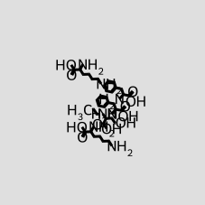 CCCNC(CCO)C(=O)O.NC(Cc1ccccc1)C(=O)O.NC(Cc1ccccc1)C(=O)O.NCCCCC(N)C(=O)O.NCCCCC(N)C(=O)O